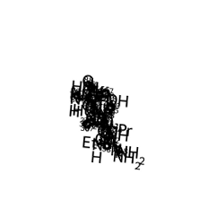 CCNC(=O)[C@@H]1CCCN1C(=O)[C@H](CCCN=C(N)N)NC(=O)[C@H](CC(C)C)NC(=O)[C@@H](CC1=CN=C2CC=CC=C12)NC(=O)[C@H](Cc1ccc(O)cc1)NC(=O)[C@H](CO)NC(=O)[C@H](Cc1c[nH]c2ccccc12)NC(=O)[C@H](Cc1cnc[nH]1)NC(=O)[C@@H]1CCC(=O)N1